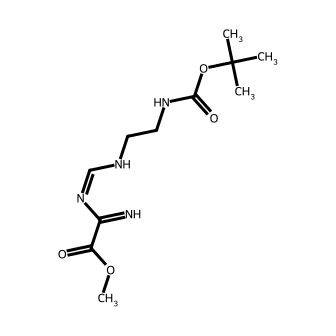 COC(=O)C(=N)/N=C\NCCNC(=O)OC(C)(C)C